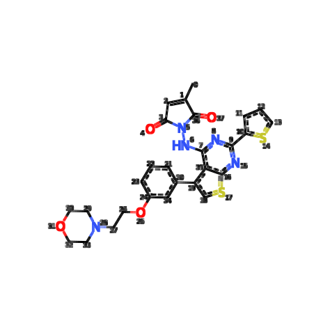 CC1=CC(=O)N(Nc2nc(-c3cccs3)nc3scc(-c4cccc(OCCN5CCOCC5)c4)c23)C1=O